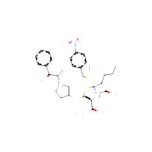 CC[C@H](O)[C@@H]1C(=O)N2C(C(=O)O)=C(SC3CCN(C(C)C(=O)c4ccccc4)C3)S[C@]12SCc1ccc([N+](=O)[O-])cc1